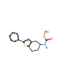 CN(C(=O)OC(C)(C)C)C1CCc2sc(-c3ccccc3)cc2C1